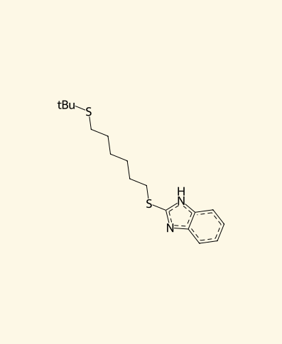 CC(C)(C)SCCCCCCSc1nc2ccccc2[nH]1